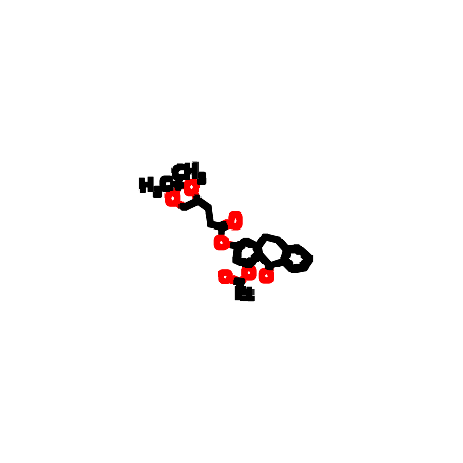 CCC(=O)Oc1cc(OC(=O)CCC2COC(C)(C)O2)cc2c1C(=O)c1ccccc1CC2